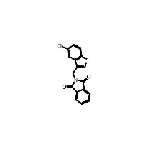 O=C1c2ccccc2C(=O)N1Cc1csc2ccc(Cl)cc12